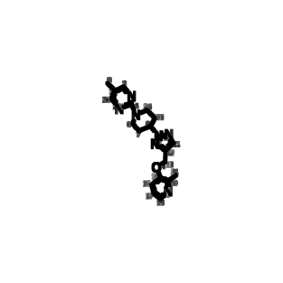 Cc1cnc(N2CCC(n3ncc(COc4cccnc4C)n3)CC2)nc1